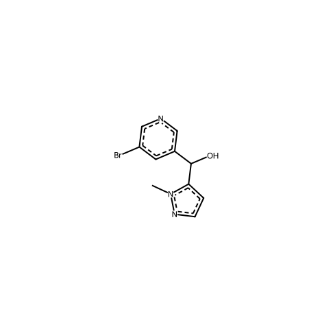 Cn1nccc1C(O)c1cncc(Br)c1